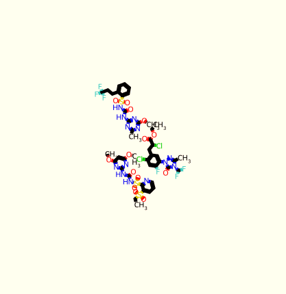 CCOC(=O)C(Cl)Cc1cc(-n2nc(C)n(C(F)F)c2=O)c(F)cc1Cl.CCS(=O)(=O)c1cccnc1S(=O)(=O)NC(=O)Nc1nc(OC)cc(OC)n1.COc1nc(C)nc(NC(=O)NS(=O)(=O)c2ccccc2CCC(F)(F)F)n1